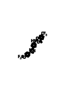 CC(OC(=O)Nc1ccc(-c2ncn(-c3ccc(OC(F)(F)F)cc3)n2)cc1)c1ccc(C(F)(F)F)cc1